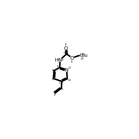 C=Cc1ccc(NC(=O)OC(C)(C)C)nc1